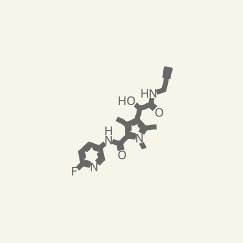 C#CCNC(=O)C(O)c1c(C)c(C(=O)Nc2ccc(F)nc2)n(C)c1C